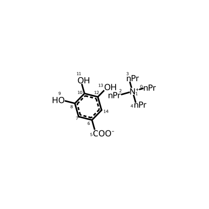 CCC[N+](CCC)(CCC)CCC.O=C([O-])c1cc(O)c(O)c(O)c1